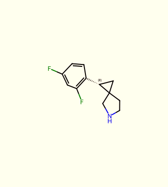 Fc1ccc([C@@H]2CC23CCNC3)c(F)c1